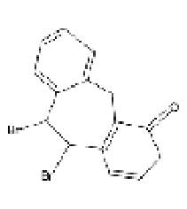 O=C1CC=CC2=C1Cc1ccccc1C(Br)C2Br